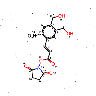 O=C(/C=C/c1cc(CO)c(CO)cc1[N+](=O)[O-])ON1C(=O)CCC1=O